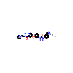 Cn1ncc2cc(NC(=O)Nc3cccc(Oc4ccnc(C(=O)NCCN5CCCC5)c4)c3)ccc21